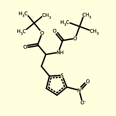 CC(C)(C)OC(=O)NC(Cc1ccc([N+](=O)[O-])s1)C(=O)OC(C)(C)C